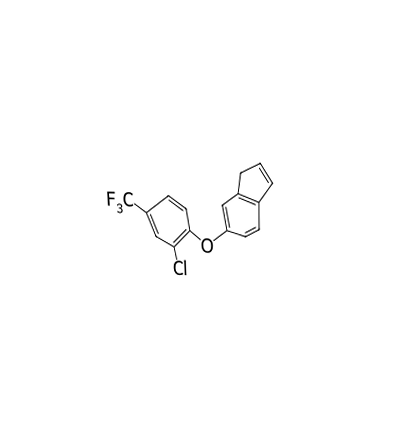 FC(F)(F)c1ccc(Oc2ccc3c(c2)CC=C3)c(Cl)c1